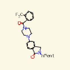 CCCCCN1Cc2cc(N3CCN(C(=O)c4ccccc4C(F)(F)F)CC3)ccc2C1=O